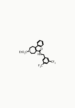 CCOC(=O)N1CCC(C(=O)NCc2cc(C(F)(F)F)cc(C(F)(F)F)c2)=C(c2ccccc2)CC1